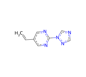 C=Cc1cnc(-n2cncn2)nc1